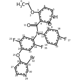 CCOc1cc[nH]c(=O)c1C(=O)N(c1ccc(F)cc1)c1cc(F)c(Oc2ccncc2Br)cc1F